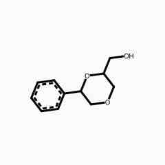 OCC1COCC(c2ccccc2)O1